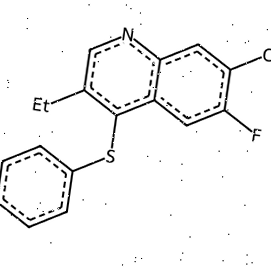 CCc1cnc2cc(Cl)c(F)cc2c1Sc1ccccc1